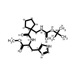 COC(=O)C(Cc1c[nH]cn1)NC(=O)C1(CNC(=O)OC(C)(C)C)CCCC1